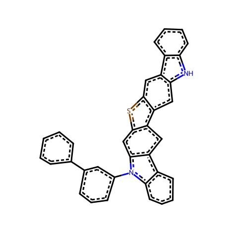 c1ccc(-c2cccc(-n3c4ccccc4c4cc5c(cc43)sc3cc4c(cc35)[nH]c3ccccc34)c2)cc1